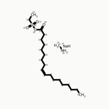 CCCCCCCC/C=C\CCCCCCCC(=O)OS(=O)(=O)CC.CN.[NaH]